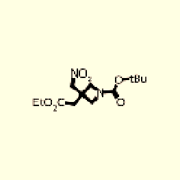 CCOC(=O)CC1(C[N+](=O)[O-])CN(C(=O)OC(C)(C)C)C1